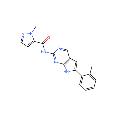 Cc1ccccc1-c1cc2cnc(NC(=O)c3ccnn3C)nc2[nH]1